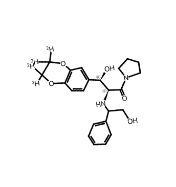 [2H]C1([2H])Oc2ccc([C@@H](O)[C@H](NC(CO)c3ccccc3)C(=O)N3CCCC3)cc2OC1([2H])[2H]